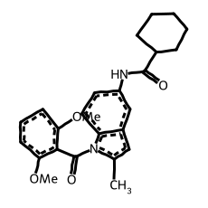 COc1cccc(OC)c1C(=O)n1c(C)cc2cc(NC(=O)C3CCCCC3)ccc21